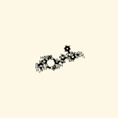 CCC1COP(=O)(O)OC2C(COP(=O)(O)OC(CO)C(n3cnc4c(=O)[nH]c(N)nc43)O1)OC(n1cnc3c(NC(OC(=O)c4ccccc4)[C@H]4O[C@@H]5OC(C)(C)OC5CC4O)ncnc31)C2O